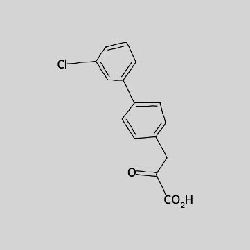 O=C(O)C(=O)Cc1ccc(-c2cccc(Cl)c2)cc1